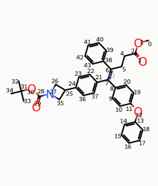 COC(=O)CC/C(=C(\c1ccc(Oc2ccccc2)cc1)c1ccc(C2CN(C(=O)OC(C)(C)C)C2)cc1)c1ccccc1